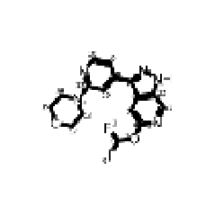 FC(F)Oc1cc2c(-c3ccnc(N4CCOCC4)c3)n[nH]c2cn1